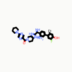 CCc1cc(O)c(F)cc1-c1ccc(C(=N)C2NC3=C(CN(C(=O)c4cnc(N5CCCCC5)cn4)CC3)N2)c(N)c1